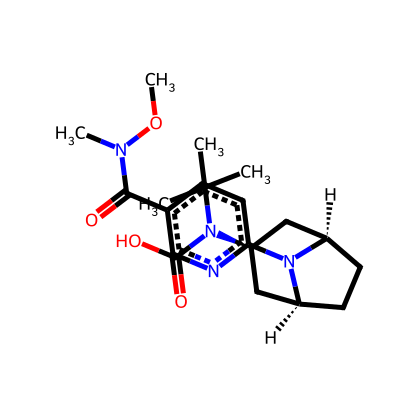 CON(C)C(=O)c1ccc(N2[C@@H]3CC[C@H]2C[C@@H](N(C(=O)O)C(C)(C)C)C3)nc1